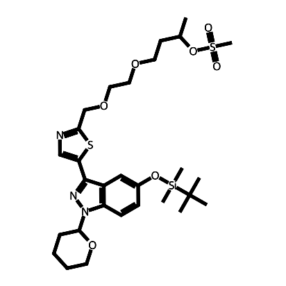 CC(CCOCCOCc1ncc(-c2nn(C3CCCCO3)c3ccc(O[Si](C)(C)C(C)(C)C)cc23)s1)OS(C)(=O)=O